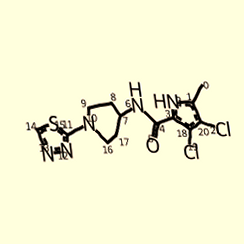 Cc1[nH]c(C(=O)NC2CCN(c3nncs3)CC2)c(Cl)c1Cl